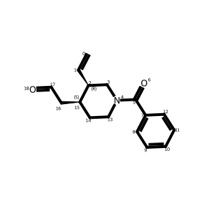 C=C[C@H]1CN(C(=O)c2ccccc2)CC[C@H]1CC=O